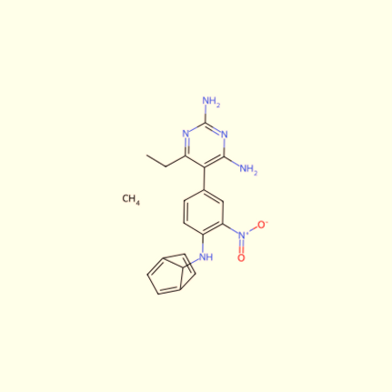 C.CCc1nc(N)nc(N)c1-c1ccc(NC2C3=CC=C2C=C3)c([N+](=O)[O-])c1